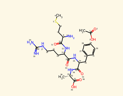 CC(=O)O.CSCCC(N)C(=O)NC(CCCNC(=N)N)C(=O)NC(Cc1ccccc1)C(=O)N[C@@H](C)C(=O)O